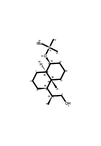 C[C@H](CO)[C@H]1CCC[C@H]2[C@@H](O[Si](C)(C)C(C)(C)C)CCC[C@]12C